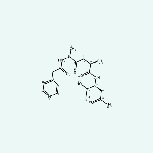 C[C@H](NC(=O)Cc1ccncc1)C(=O)N[C@@H](C)C(=O)N[C@@H](CC(N)=O)C(O)O